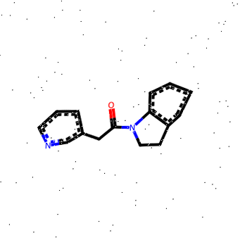 O=C(Cc1cccnc1)N1CCc2ccccc21